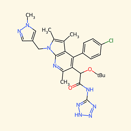 Cc1nc2c(c(C)c(C)n2Cc2cnn(C)c2)c(-c2ccc(Cl)cc2)c1C(OC(C)(C)C)C(=O)Nc1nn[nH]n1